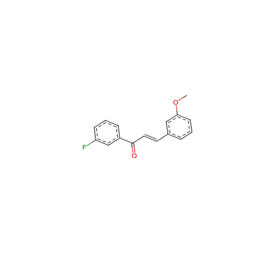 COc1cccc(C=CC(=O)c2cccc(F)c2)c1